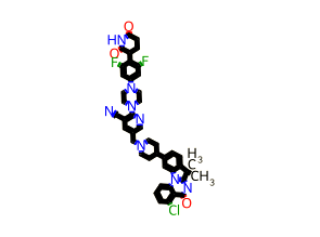 CC1(C)c2ccc(C3CCN(Cc4cnc(N5CCN(c6cc(F)c(C7CCC(=O)NC7=O)c(F)c6)CC5)c(C#N)c4)CC3)cc2-n2c1nc(=O)c1c(Cl)cccc12